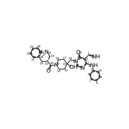 N=Cc1c(Nc2ccccc2)ncn(CC2(O)CCN(C(=O)[C@H](CN)Cc3ccccc3)CC2)c1=O